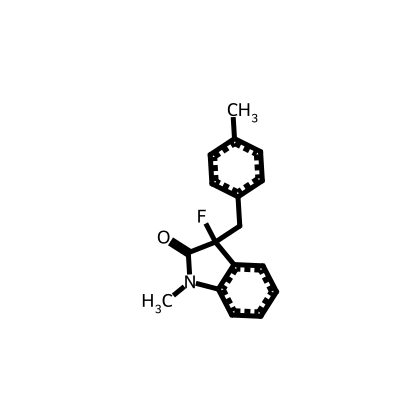 Cc1ccc(CC2(F)C(=O)N(C)c3ccccc32)cc1